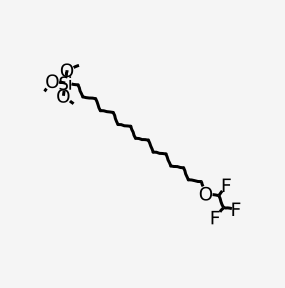 CO[Si](CCCCCCCCCCCCCCCOC(F)C(F)F)(OC)OC